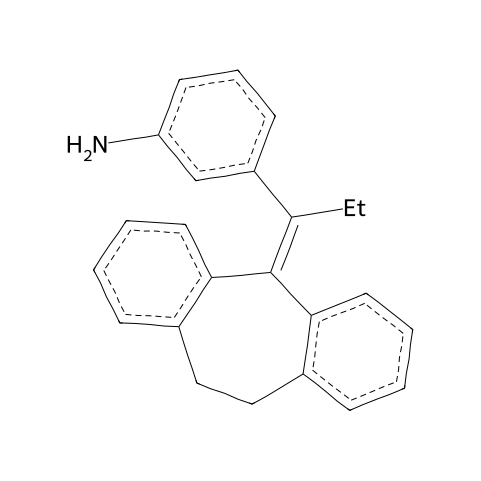 CCC(=C1c2ccccc2CCc2ccccc21)c1cccc(N)c1